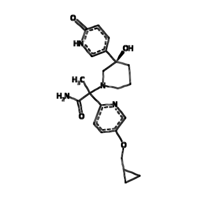 CC(C(N)=O)(c1ccc(OCC2CC2)cn1)N1CCC[C@@](O)(c2ccc(=O)[nH]c2)C1